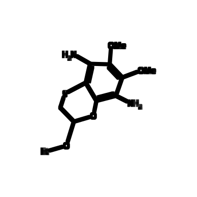 CCOC1CSc2c(N)c(OC)c(OC)c(N)c2O1